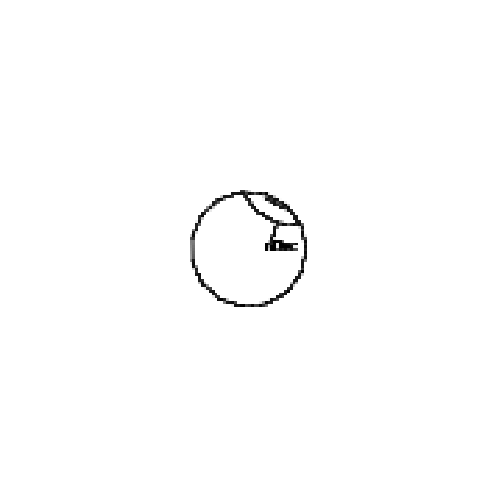 CCCCCCCCCCC1CC2C=CC1CCCCCCCCCCC2